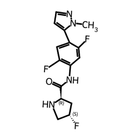 Cn1nccc1-c1cc(F)c(NC(=O)[C@H]2C[C@H](F)CN2)cc1F